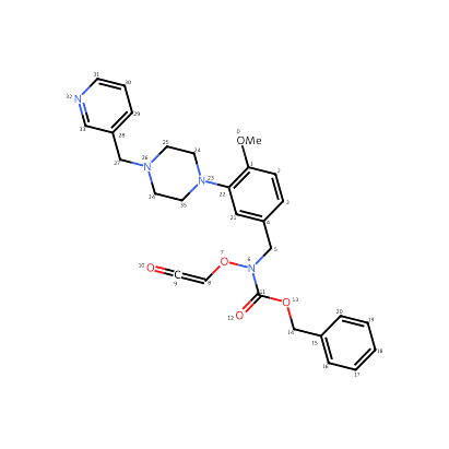 COc1ccc(CN(OC=C=O)C(=O)OCc2ccccc2)cc1N1CCN(Cc2cccnc2)CC1